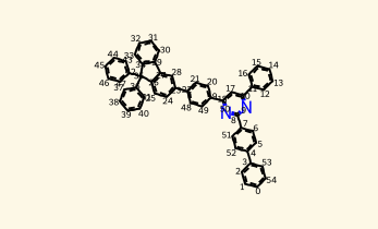 c1ccc(-c2ccc(-c3nc(-c4ccccc4)cc(-c4ccc(-c5ccc6c(c5)-c5ccccc5C6(c5ccccc5)c5ccccc5)cc4)n3)cc2)cc1